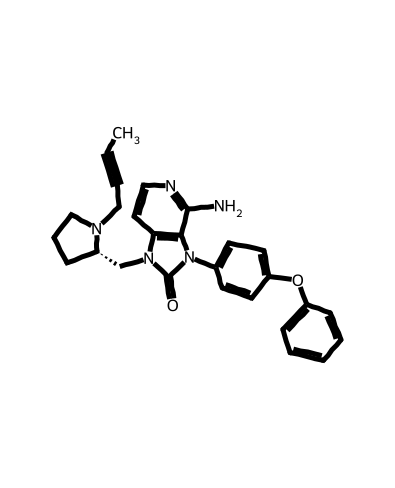 CC#CCN1CCC[C@H]1Cn1c(=O)n(-c2ccc(Oc3ccccc3)cc2)c2c(N)nccc21